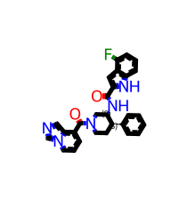 O=C(N[C@@H]1CN(C(=O)c2cccn3cncc23)CC[C@H]1c1ccccc1)c1cc2c(F)cccc2[nH]1